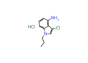 CCCn1cc(Cl)c2c(N)cccc21.Cl